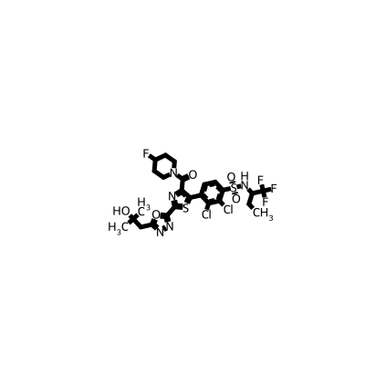 CCC(NS(=O)(=O)c1ccc(-c2sc(-c3nnc(CC(C)(C)O)o3)nc2C(=O)N2CCC(F)CC2)c(Cl)c1Cl)C(F)(F)F